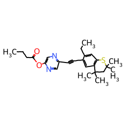 CCCC(=O)Oc1cnc(C#Cc2cc3c(cc2CC)SC(C)(C)CC3(C)C)cn1